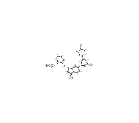 CCOC(=O)Cc1ccccc1OCc1nn(C(C)C)c2ccc(-c3cc(C#N)cc(C4=CCN(C)CC4)c3)cc12